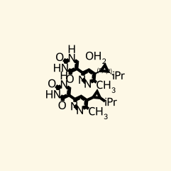 Cc1nnc(-c2c[nH]c(=O)[nH]c2=O)cc1C1CC1C(C)C.Cc1nnc(-c2c[nH]c(=O)[nH]c2=O)cc1[C@H]1C[C@@H]1C(C)C.O